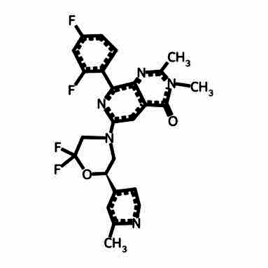 Cc1cc([C@@H]2CN(c3cc4c(=O)n(C)c(C)nc4c(-c4ccc(F)cc4F)n3)CC(F)(F)O2)ccn1